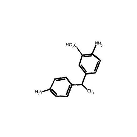 CC(c1ccc(N)cc1)c1ccc(N)c(C(=O)O)c1